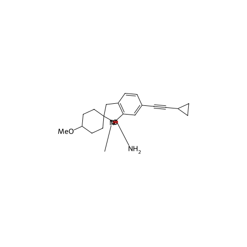 COC1CCC2(CC1)Cc1ccc(C#CC3CC3)cc1C21N=C(N)N(C)O1